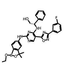 CCOB1OC(C)(C)c2cc(Nc3ncc(-c4nc(-c5cccc(F)c5)no4)c(N[C@H](CO)c4ccccc4)n3)ccc21